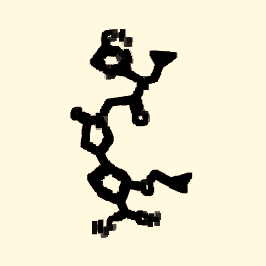 Cc1csc(N(CC2CC2)C(=O)CN2CC(c3ccc(C(C)O)c(OCC4CC4)c3)CC2=O)n1